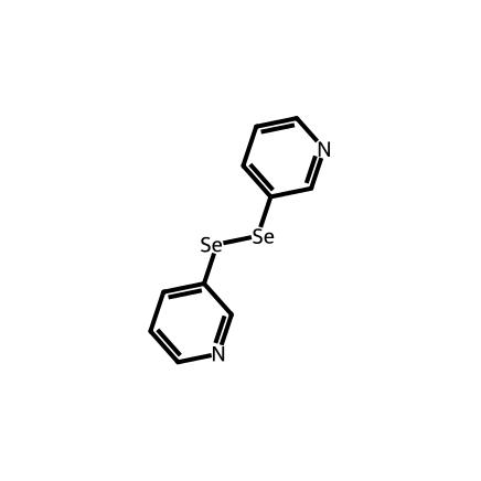 c1cncc([Se][Se]c2cccnc2)c1